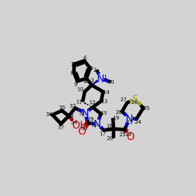 CN(C)[C@]1(c2ccccc2)CC[C@]2(CC1)CN(CC(C)(C)C(=O)N1CCSCC1)C(=O)N2CC1(O)CCC1